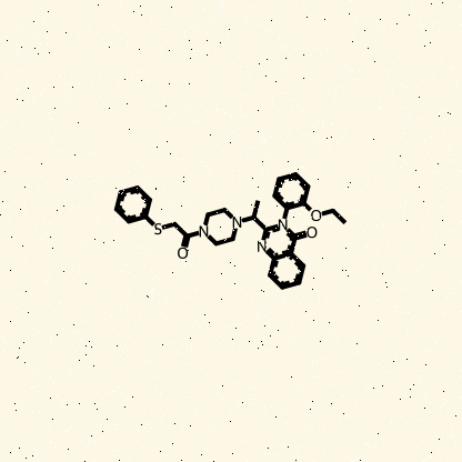 CCOc1ccccc1-n1c(C(C)N2CCN(C(=O)CSc3ccccc3)CC2)nc2ccccc2c1=O